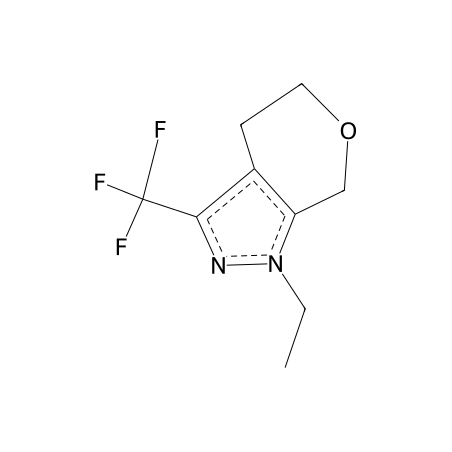 CCn1nc(C(F)(F)F)c2c1COCC2